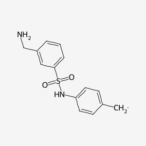 [CH2]c1ccc(NS(=O)(=O)c2cccc(CN)c2)cc1